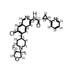 C[C@@]1(N2CCC(c3cc4cc(NC(=O)[C@@H]5C[C@H]5c5ccccn5)ncc4cc3Cl)CC2)COC[C@@H]1F